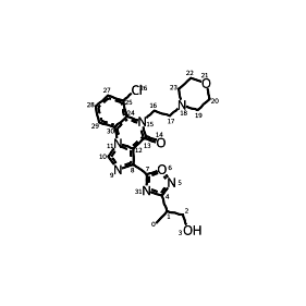 CC(CO)c1noc(-c2ncn3c2c(=O)n(CCN2CCOCC2)c2c(Cl)cccc23)n1